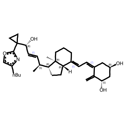 C=C1/C(=C\C=C2/CCC[C@]3(C)[C@@H]([C@@H](C)/C=C/[C@@H](O)C4(c5nc(CCCC)co5)CC4)CC[C@@H]23)C[C@@H](O)C[C@@H]1O